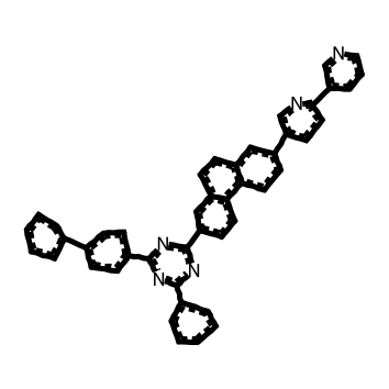 c1ccc(-c2ccc(-c3nc(-c4ccccc4)nc(-c4ccc5c(ccc6cc(-c7ccc(-c8cccnc8)nc7)ccc65)c4)n3)cc2)cc1